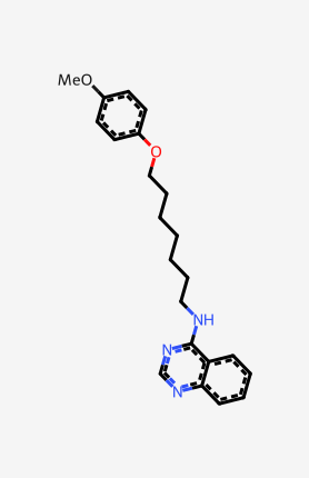 COc1ccc(OCCCCCCCNc2ncnc3ccccc23)cc1